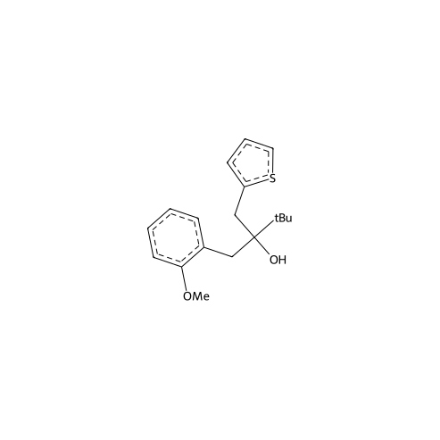 COc1ccccc1CC(O)(Cc1cccs1)C(C)(C)C